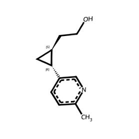 Cc1ccc([C@@H]2C[C@H]2CCO)cn1